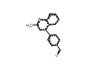 Cc1cc(-c2ccc([C]=O)cc2)c2ccccc2n1